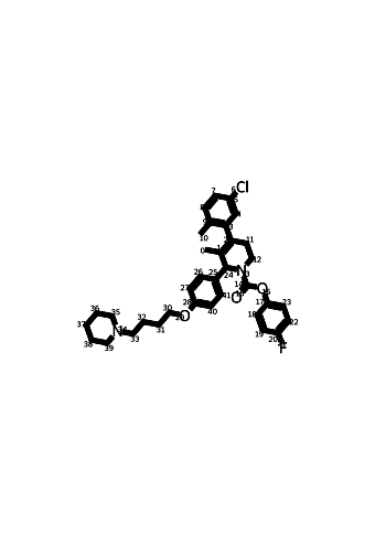 CC1=C(c2cc(Cl)ccc2C)CCN(C(=O)Oc2ccc(F)cc2)C1c1ccc(OCCCCN2CCCCC2)cc1